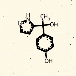 CC(O)(c1ccc(O)cc1)c1ccn[nH]1